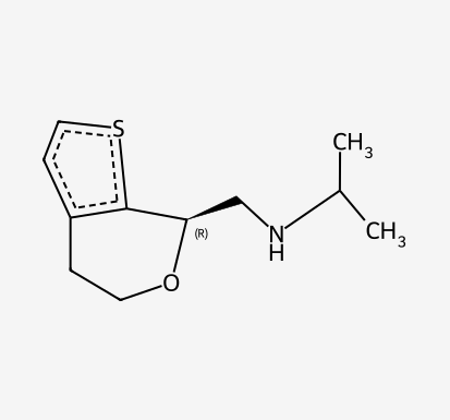 CC(C)NC[C@H]1OCCc2ccsc21